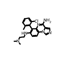 Cc1cccc(Cl)c1-c1c(NCCN(C)C)ccc2c1nc(N)c1cncn12